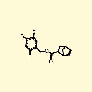 O=C(OCc1cc(F)c(F)cc1F)C1CC2C=CC1C2